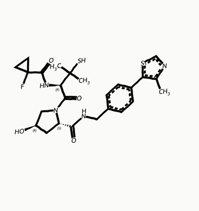 Cc1ncsc1-c1ccc(CNC(=O)[C@@H]2C[C@@H](O)CN2C(=O)[C@@H](NC(=O)C2(F)CC2)C(C)(C)S)cc1